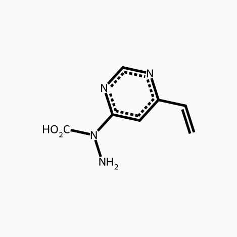 C=Cc1cc(N(N)C(=O)O)ncn1